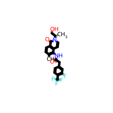 Cc1ccc2c(=O)n([C@@H](C)CO)ccc2c1NC(=O)Cc1ccc(C(F)(F)F)c(F)c1